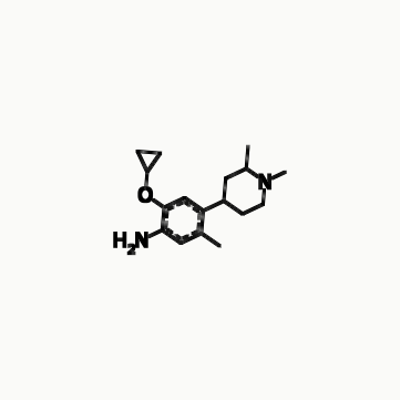 Cc1cc(N)c(OC2CC2)cc1C1CCN(C)C(C)C1